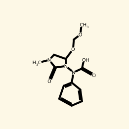 COCOC1CN(C)C(=O)N1N(C(=O)O)c1ccccc1